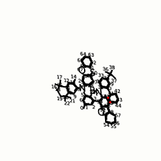 Cc1cc2c3c(c1)N(c1cc4c(cc1C)C(C)(C)CCC4(C)C)c1cc4c(cc1B3N(c1ccc(C(C)(C)C)cc1-c1ccccc1)c1ccc3c(oc5ccccc53)c1-2)Sc1ccccc1O4